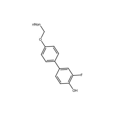 CCCCCCCCCCOc1ccc(-c2ccc(O)c(F)c2)cc1